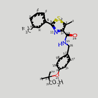 Cc1sc(-c2cccc(C(F)(F)F)c2)nc1C(=O)NCc1ccc(OC(C)(C)C(=O)O)cc1